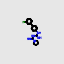 N=C(NC(=N)N1CCCC1)Nc1ccc(-c2cccc(F)c2)cc1